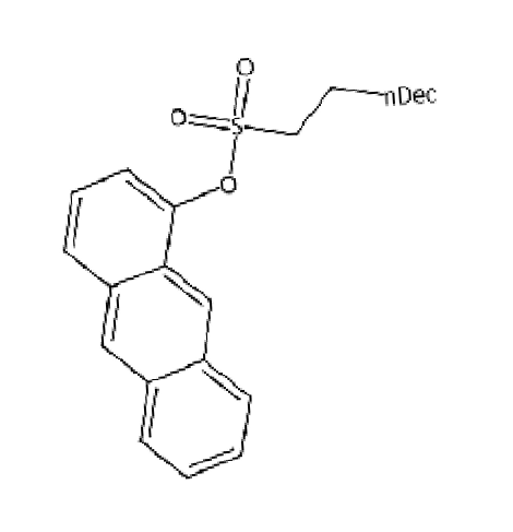 CCCCCCCCCCCCS(=O)(=O)Oc1cccc2cc3ccccc3cc12